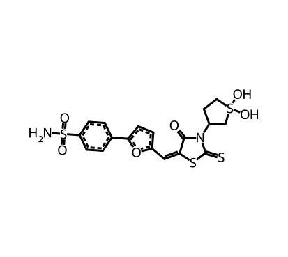 NS(=O)(=O)c1ccc(-c2ccc(/C=C3/SC(=S)N(C4CCS(O)(O)C4)C3=O)o2)cc1